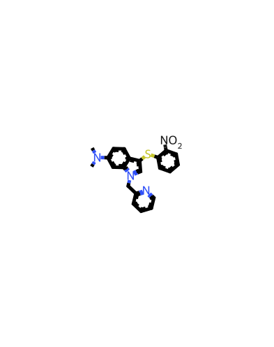 CN(C)c1ccc2c(Sc3ccccc3[N+](=O)[O-])cn(Cc3ccccn3)c2c1